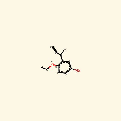 C=C[C](C)c1cc(Br)ccc1OCC